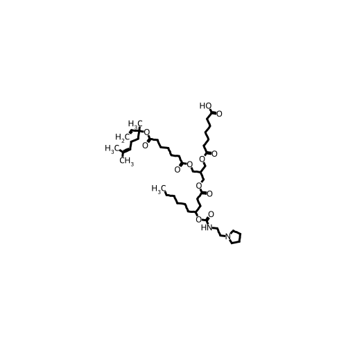 C=CC(C)(CCC=C(C)C)OC(=O)CCCCCC(=O)OCC(COC(=O)CCCCCC(=O)O)COC(=O)CCC(CCCCCC)OC(=O)NCCN1CCCC1